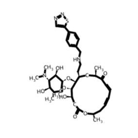 CO[C@@H]1[C@@H](O[C@@H]2O[C@H](C)[C@@H](O)[C@H](N(C)C)[C@H]2O)[C@@H](CCNCc2ccc(-c3cnns3)cc2)C[C@@H](C)C(=O)C=CC=CC[C@@H](C)OC(=O)C[C@H]1O